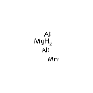 [Al].[Al].[MgH2].[Mn]